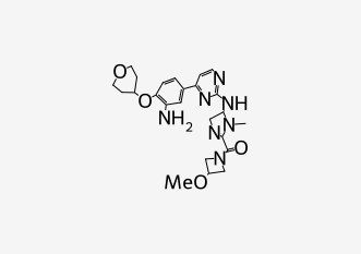 COC1CN(C(=O)C2=NCC(Nc3nccc(-c4ccc(OC5CCOCC5)c(N)c4)n3)N2C)C1